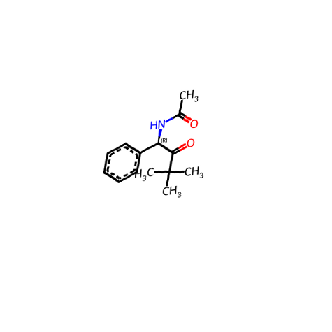 CC(=O)N[C@@H](C(=O)C(C)(C)C)c1ccccc1